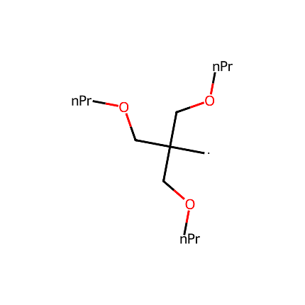 [CH2]C(COCCC)(COCCC)COCCC